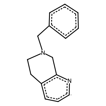 [c]1ccc2c(n1)CN(Cc1ccccc1)CC2